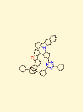 c1ccc(-c2ccc(-c3cccc(-c4nc(-c5ccccc5)nc(-c5ccc(-n6c7ccccc7c7cc8ccccc8cc76)c(-c6cccc7oc8c9ccccc9ccc8c67)c5)n4)c3)cc2)cc1